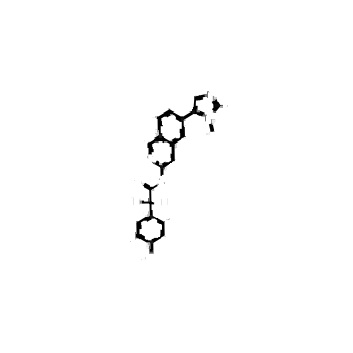 [2H]C([2H])(C(=O)Nc1cc2cc(-c3cncn3C)ccc2cn1)c1ccc(F)cc1